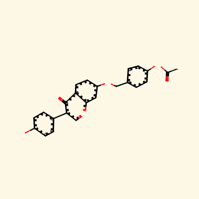 CCC(=O)Oc1ccc(COc2ccc3c(=O)c(-c4ccc(O)cc4)coc3c2)cc1